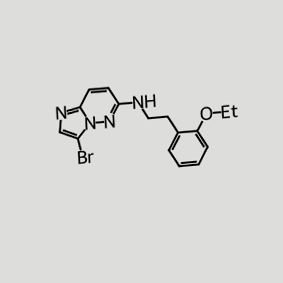 CCOc1ccccc1CCNc1ccc2ncc(Br)n2n1